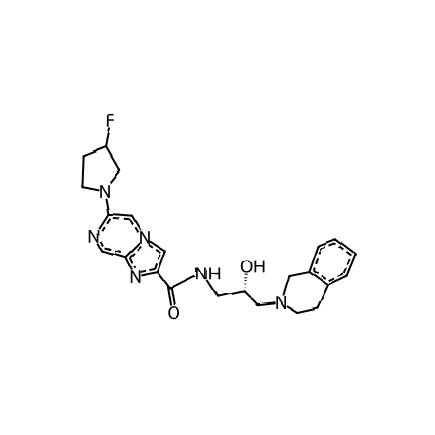 O=C(NC[C@H](O)CN1CCc2ccccc2C1)c1cn2cc(N3CCC(F)C3)ncc2n1